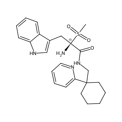 CS(=O)(=O)[C@@](N)(Cc1c[nH]c2ccccc12)C(=O)NCC1(c2ccccn2)CCCCC1